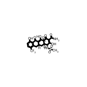 CS(=O)(=O)N[C@@H]1C(O)=C(C(N)=O)C(=O)[C@@]2(O)C(O)=C3C(=O)c4c(O)ccc(C(F)(F)F)c4C[C@H]3C[C@@H]12